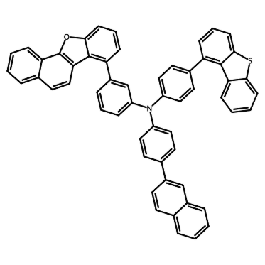 c1cc(-c2cccc3oc4c5ccccc5ccc4c23)cc(N(c2ccc(-c3ccc4ccccc4c3)cc2)c2ccc(-c3cccc4sc5ccccc5c34)cc2)c1